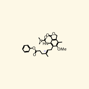 COc1c(C)c2c(c(NC(=O)N(C)C)c1C/C=C(\C)CCC(=O)Oc1ccccc1)C(=O)OC2